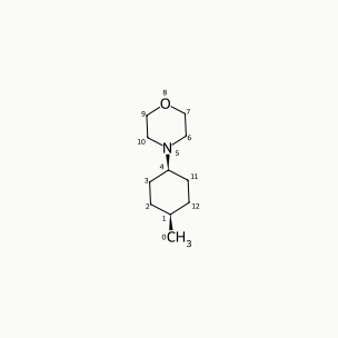 C[C@H]1CC[C@@H](N2CCOCC2)CC1